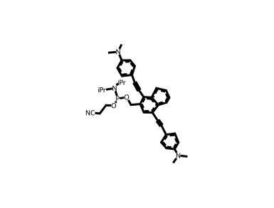 CC(C)N(C(C)C)P(OCCC#N)OCc1cc(C#Cc2ccc(N(C)C)cc2)c2ccccc2c1C#Cc1ccc(N(C)C)cc1